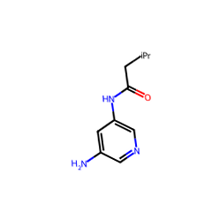 CC(C)CC(=O)Nc1cncc(N)c1